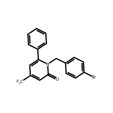 O=c1cc(C(F)(F)F)cc(-c2ccccc2)n1Cc1ccc(Br)cc1